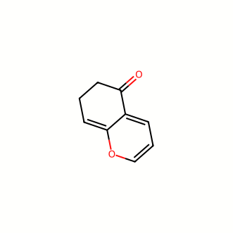 O=C1CCC=C2OC=CC=C12